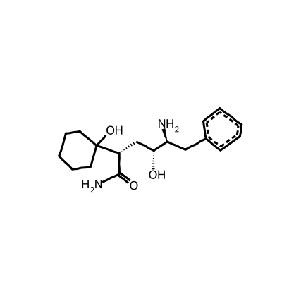 NC(=O)[C@@H](C[C@@H](O)[C@@H](N)Cc1ccccc1)C1(O)CCCCC1